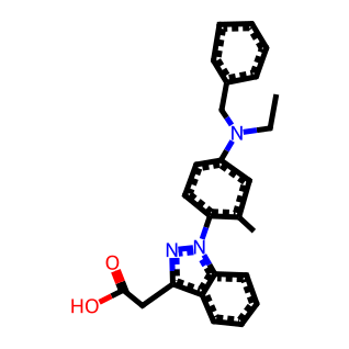 CCN(Cc1ccccc1)c1ccc(-n2nc(CC(=O)O)c3ccccc32)c(C)c1